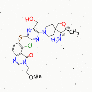 COCCn1cnc2ccc(Sc3cnc(N4CCC5(CC4)CO[C@@H](C)[C@H]5N)c(CO)n3)c(Cl)c2c1=O